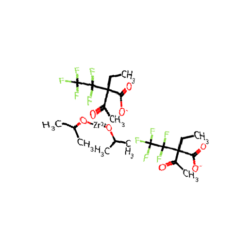 CC(C)[O][Zr+2][O]C(C)C.CCC(C(C)=O)(C(=O)[O-])C(F)(F)C(F)(F)F.CCC(C(C)=O)(C(=O)[O-])C(F)(F)C(F)(F)F